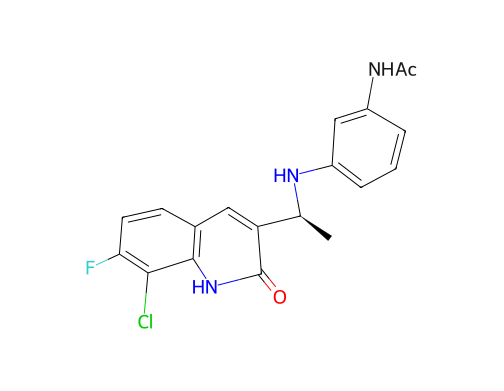 CC(=O)Nc1cccc(N[C@@H](C)c2cc3ccc(F)c(Cl)c3[nH]c2=O)c1